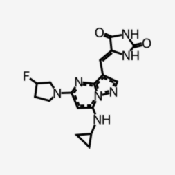 O=C1NC(=O)C(=Cc2cnn3c(NC4CC4)cc(N4CCC(F)C4)nc23)N1